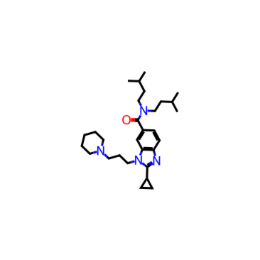 CC(C)CCN(CCC(C)C)C(=O)c1ccc2nc(C3CC3)n(CCCN3CCCCC3)c2c1